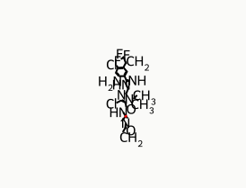 C=CC(=O)N1CC(NC(=O)c2c(Cl)nc(CNC(=N)c3cc(C(=C)C(F)(F)F)c(Cl)cc3N)n2C(C)C)C1